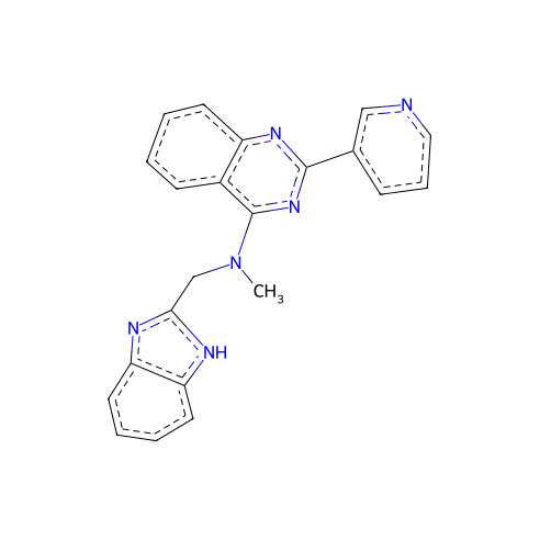 CN(Cc1nc2ccccc2[nH]1)c1nc(-c2cccnc2)nc2ccccc12